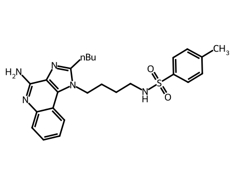 CCCCc1nc2c(N)nc3ccccc3c2n1CCCCNS(=O)(=O)c1ccc(C)cc1